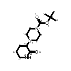 CC(C)(C)OC(=O)N1CCN(C2CCCNC2=O)CC1